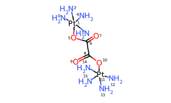 [NH2][Pt]([NH2])([NH2])([NH2])[O]C(=O)C(=O)[O][Pt]([NH2])([NH2])([NH2])[NH2]